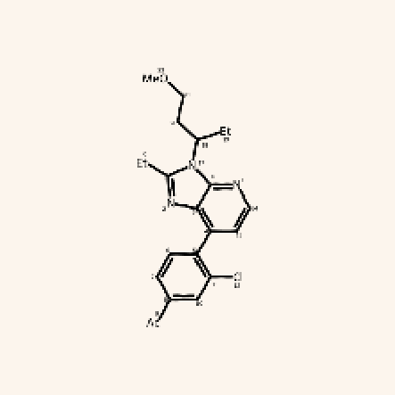 CCc1nc2c(-c3ccc(C(C)=O)cc3Cl)ccnc2n1C(CC)CCOC